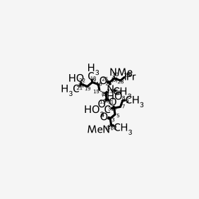 CN[C@@H](C)C(=O)CC(CC(C)O)(OC(=O)[C@H](CCC(C)CC(C)O)N(C)C(=O)[C@H](CC(C)C)NC)C(=O)O